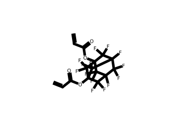 C=CC(=O)OC12C(F)(F)C3(F)C(F)(F)C(F)(C1(F)F)C(F)(F)C(OC(=O)C=C)(C3(F)F)C2(F)F